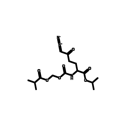 CC(C)OC(=O)C(CCC(=O)C=[N+]=[N-])NC(=O)OCOC(=O)C(C)C